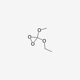 CCOC1(OC)OO1